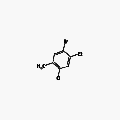 CCc1cc(Cl)c(C)cc1Br